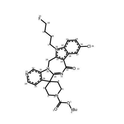 CC(C)(C)OC(=O)N1CCC2(CC1)C1=NC(=O)c3c(n(CCCCF)c4ccc(Cl)cc34)CN1c1cnccc12